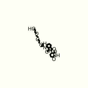 O=C1CCC(N2C(=O)c3cccc(NC4CN(CCOCCOCCO)C4)c3C2=O)C(=O)N1